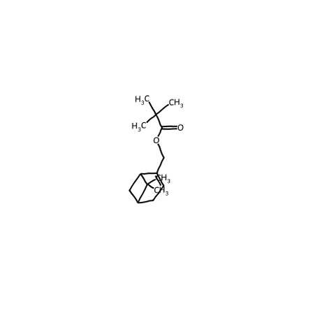 CC(C)(C)C(=O)OCC1=CCC2CC1C2(C)C